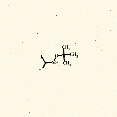 CCC(I)[SiH2]OC(C)(C)C